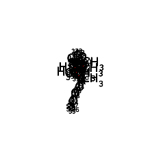 Cc1c(F)c2cc(C(=O)N3CCN(C(=O)[C@@H](NC(=O)[C@H](C)N(C)C(=O)OC(C)(C)C)C4CCCCC4)CC3)ccc2n1CCOCCOCCOCc1ccccc1